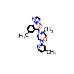 Cc1ccnc(N2CCN(C(=O)c3cc(C)ccc3-n3nccn3)[C@H](C)CO2)c1